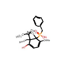 COC1=CC=C(O)C(OC)(C(C)C(=O)O)C1(OC)P(=O)(O)Cc1ccccc1